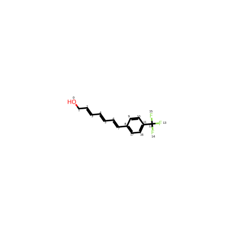 OCC=CC=CC=Cc1ccc(C(F)(F)F)cc1